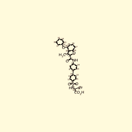 Cc1c(C(=O)Nc2ccc(-c3ccc(S(=O)(=O)NC(C(=O)O)C(C)C)cc3)cc2)oc2cccc(Oc3ccccc3)c12